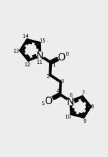 O=C(CCC(=O)n1cccc1)n1cccc1